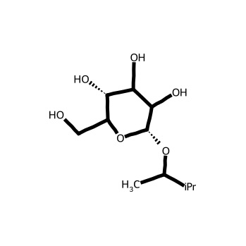 CC(C)C(C)O[C@@H]1OC(CO)[C@H](O)C(O)C1O